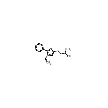 C=Cn1cc(CCC(C)N)nc1-c1ccccc1